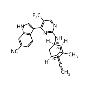 C=C=C1C(C)[C@@H]2CC[C@H]1C[C@H]2Nc1ncc(C(F)(F)F)c(-c2c[nH]c3cc(C#N)ccc23)n1